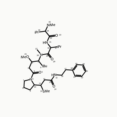 CCC(C)C(C(CC(=O)N1CCCC1C(CC(=O)NCCc1ccccc1)SC)OC)N(C)C(=O)C(NC(=O)C(NC)C(C)C)C(C)C